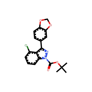 CC(C)(C)OC(=O)n1nc(-c2ccc3c(c2)OCO3)c2c(Cl)cccc21